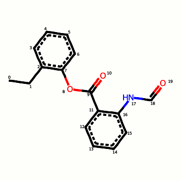 CCc1ccccc1OC(=O)c1ccccc1NC=O